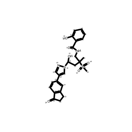 CC(CNC(=O)c1ccccc1O)(CC(O)n1cc(-c2ccc3c(c2)CCC3=O)cn1)S(C)(=O)=O